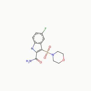 NC(=O)C1=C(S(=O)(=O)N2CCOCC2)c2cc(F)ccc2[N]1